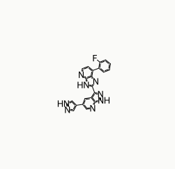 Fc1ccccc1-c1ccnc2[nH]c(-c3n[nH]c4ncc(-c5cn[nH]c5)cc34)nc12